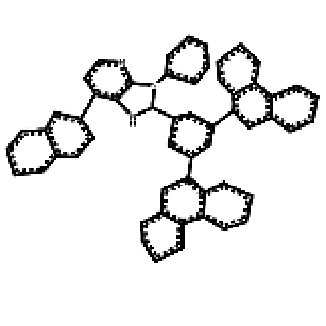 c1ccc(N2c3nccc(-c4ccc5ccccc5c4)c3NC2c2cc(-c3cc4ccccc4c4ccccc34)cc(-c3cc4ccccc4c4ccccc34)c2)cc1